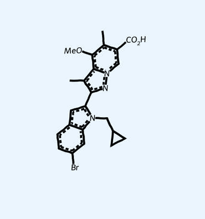 COc1c(C)c(C(=O)O)cn2nc(-c3cc4ccc(Br)cc4n3CC3CC3)c(C)c12